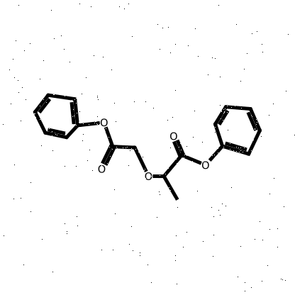 CC(OCC(=O)Oc1ccccc1)C(=O)Oc1ccccc1